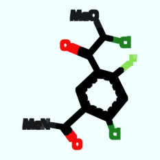 CNC(=O)c1cc(C(=O)C(Cl)OC)c(F)cc1Cl